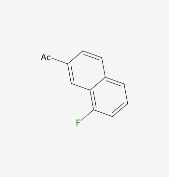 CC(=O)c1ccc2cccc(F)c2c1